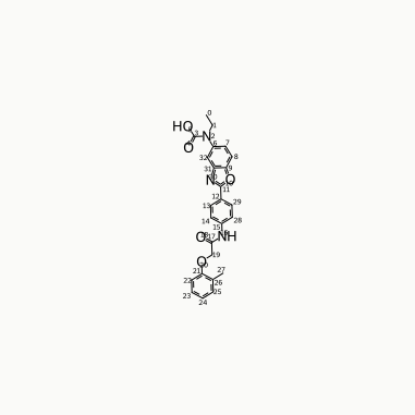 CCN(C(=O)O)c1ccc2oc(-c3ccc(NC(=O)COc4ccccc4C)cc3)nc2c1